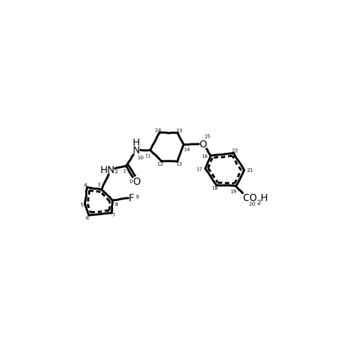 O=C(Nc1ccccc1F)NC1CCC(Oc2ccc(C(=O)O)cc2)CC1